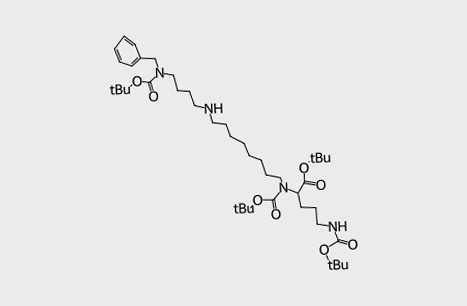 CC(C)(C)OC(=O)NCCCC(C(=O)OC(C)(C)C)N(CCCCCCCCNCCCCN(Cc1ccccc1)C(=O)OC(C)(C)C)C(=O)OC(C)(C)C